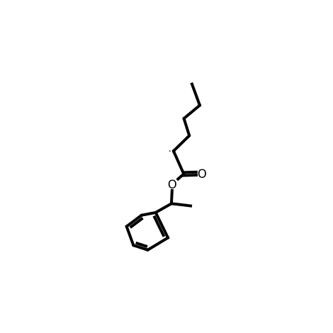 CCCC[CH]C(=O)OC(C)c1ccccc1